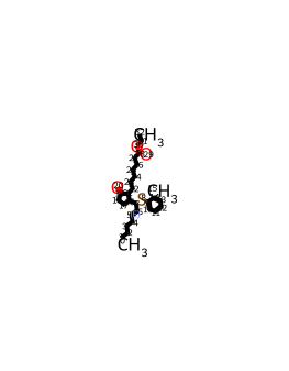 CCCCC/C=C/C(Sc1ccccc1C)C1CCC(=O)C1CCCCCCC(=O)OCC